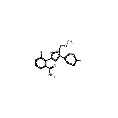 COCn1nc(-c2c(Br)cccc2C(N)=O)cc1-c1ccc(F)cc1